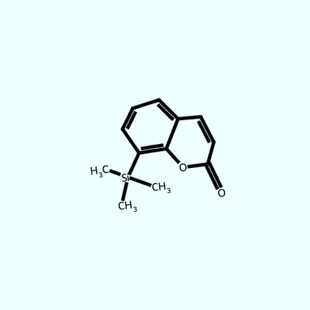 C[Si](C)(C)c1cccc2ccc(=O)oc12